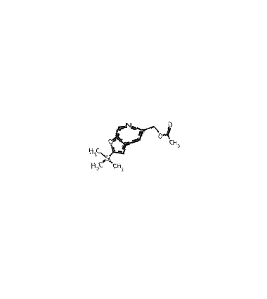 CC(=O)OCc1cc2cc([Si](C)(C)C)oc2cn1